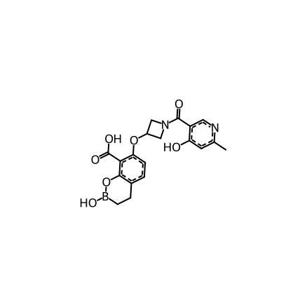 Cc1cc(O)c(C(=O)N2CC(Oc3ccc4c(c3C(=O)O)OB(O)CC4)C2)cn1